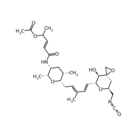 CC(=O)OC(C)C=CC(=O)N[C@@H]1C[C@H](C)[C@H](CC=C(C)C=C[C@H]2O[C@H](CN=C=O)C[C@@]3(CO3)[C@@H]2O)O[C@@H]1C